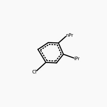 [CH2]C(C)c1cc(Cl)ccc1CCC